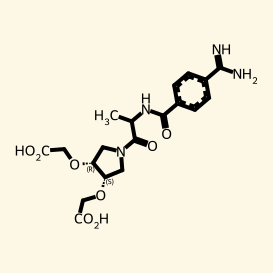 CC(NC(=O)c1ccc(C(=N)N)cc1)C(=O)N1C[C@H](OCC(=O)O)[C@H](OCC(=O)O)C1